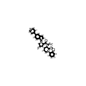 CC(=O)N(C(=O)C1CC(F)CN1n1ccc2cc(-c3ccnnc3)ccc21)C1CCCN(c2ccccc2Cl)C1=O